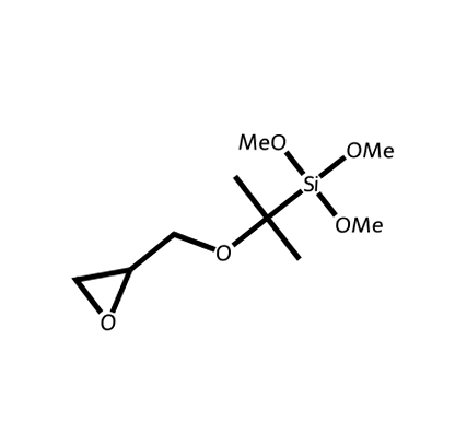 CO[Si](OC)(OC)C(C)(C)OCC1CO1